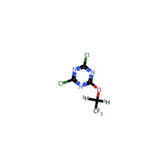 [2H]C([2H])(Oc1nc(Cl)nc(Cl)n1)C(F)(F)F